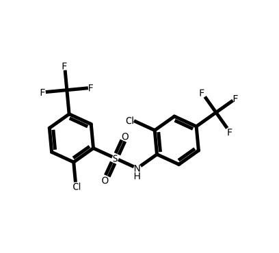 O=S(=O)(Nc1ccc(C(F)(F)F)cc1Cl)c1cc(C(F)(F)F)ccc1Cl